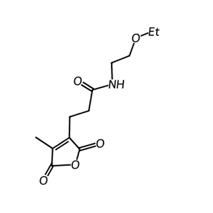 CCOCCNC(=O)CCC1=C(C)C(=O)OC1=O